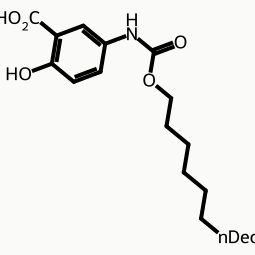 CCCCCCCCCCCCCCCCOC(=O)Nc1ccc(O)c(C(=O)O)c1